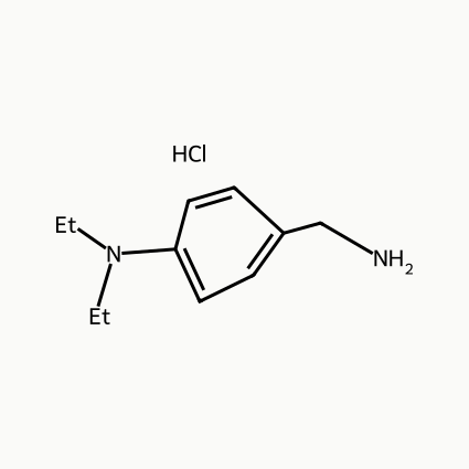 CCN(CC)c1ccc(CN)cc1.Cl